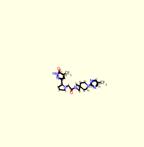 O=C(CN1CCCC1c1cc(C(F)(F)F)c(=O)[nH]n1)N1CC2(CCN(c3ncc(C(F)(F)F)cn3)CC2)C1